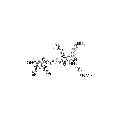 CNCCCCCCNC(=O)c1cc(C(=O)NCCCCCCNC(=O)c2cc(C=O)c(OCCC(C)C)cc2OCCC(C)C)c(OCCCCCN)cc1OCCCCCN